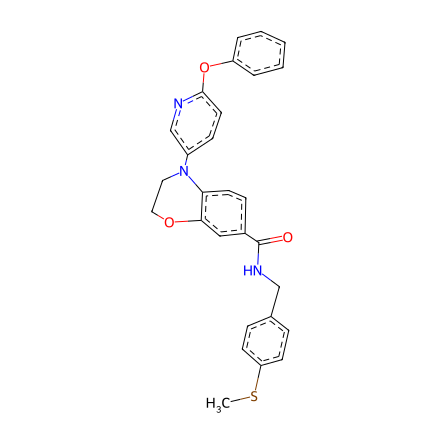 CSc1ccc(CNC(=O)c2ccc3c(c2)OCCN3c2ccc(Oc3ccccc3)nc2)cc1